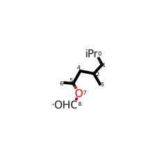 CC(C)CC(C)CC(C)O[C]=O